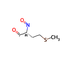 CSCC[C@H]([C]=O)N=O